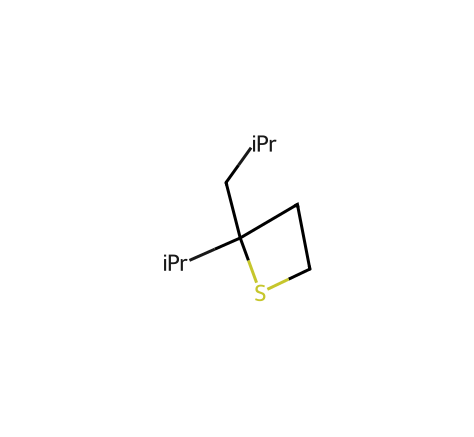 CC(C)CC1(C(C)C)CCS1